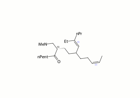 C/C=C\CCC(/C=C(\CC)CCC)CC[C@@H](CNC)C(=O)CCCCC